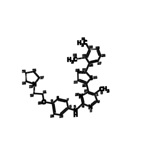 Cc1cnc(Nc2ccc(OCCN3CCCC3)cc2)nc1-c1ccc(-c2cccc(C)c2C)s1